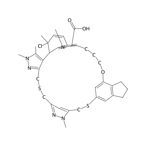 Cc1c2c(nn1C)CSCc1cc(n(C)n1)CSc1cc3c(c(c1)OCCCc1c4c(n(C)c1C(=O)O)C2C(C)(Cl)C=C4)CCC3